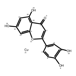 O=c1cc(-c2ccc(O)c(O)c2)oc2cc(O)cc(O)c12.[Cu]